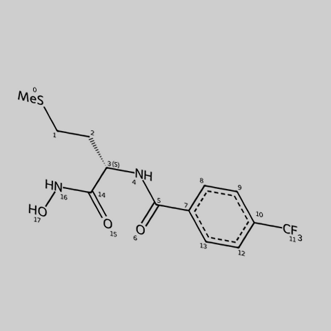 CSCC[C@H](NC(=O)c1ccc(C(F)(F)F)cc1)C(=O)NO